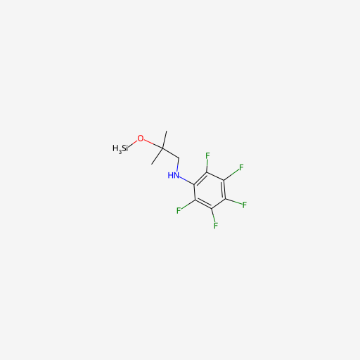 CC(C)(CNc1c(F)c(F)c(F)c(F)c1F)O[SiH3]